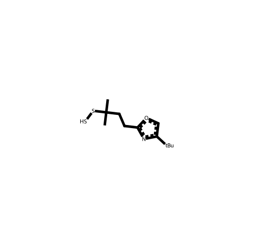 CC(C)(CCc1nc(C(C)(C)C)co1)SS